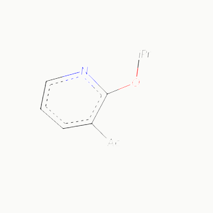 CC(=O)c1cccnc1OC(C)C